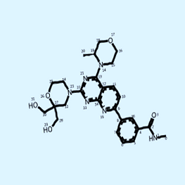 CNC(=O)c1cccc(-c2ccc3c(N4CCOC[C@@H]4C)nc(N4CCOC(CO)(CO)C4)nc3n2)c1